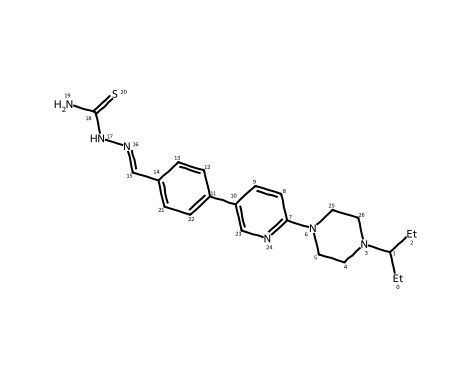 CCC(CC)N1CCN(c2ccc(-c3ccc(/C=N/NC(N)=S)cc3)cn2)CC1